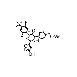 COCc1ccc(C(NC(=O)c2cc(O)no2)C(=O)Nc2cc(F)c(S(C)(C)C)cc2F)cc1